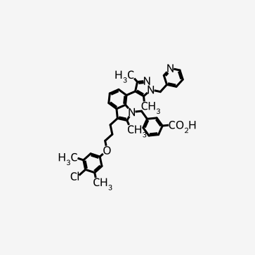 Cc1cc(OCCCc2c(C)n(Cc3cccc(C(=O)O)c3)c3c(-c4c(C)nn(Cc5cccnc5)c4C)cccc23)cc(C)c1Cl